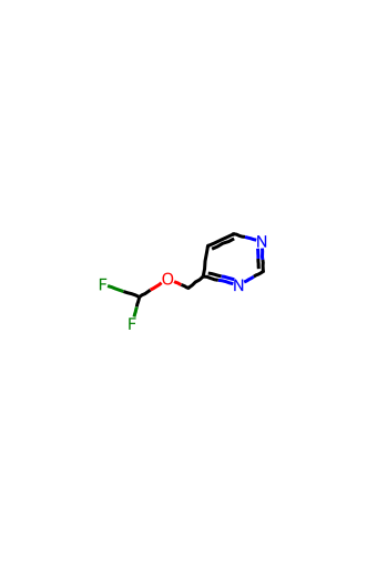 FC(F)OCc1ccncn1